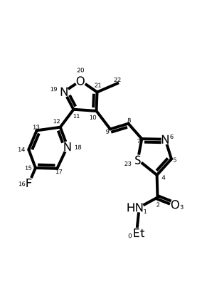 CCNC(=O)c1cnc(/C=C/c2c(-c3ccc(F)cn3)noc2C)s1